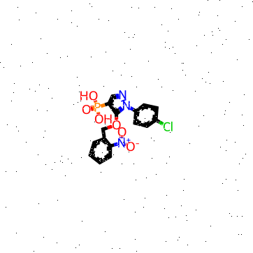 O=[N+]([O-])c1ccccc1COc1c(P(=O)(O)O)cnn1-c1ccc(Cl)cc1